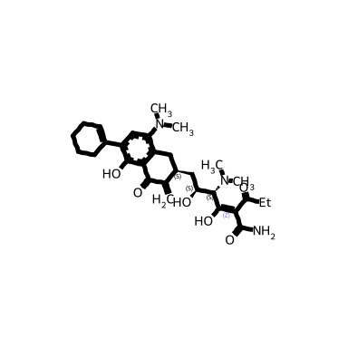 C=C1C(=O)c2c(O)c(C3=CCCCC3)cc(N(C)C)c2C[C@H]1C[C@H](O)[C@@H](/C(O)=C(/C(N)=O)C(=O)CC)N(C)C